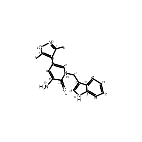 Cc1noc(C)c1-c1cc(N)c(=O)n(Cc2c[nH]c3ccccc23)c1